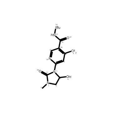 CN1CC(O)N(c2cc(C(F)(F)F)c(C(=O)NC(C)(C)C)cn2)C1=O